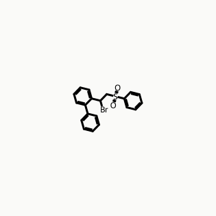 O=S(=O)(CC(Br)c1ccccc1-c1ccccc1)c1ccccc1